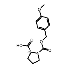 COc1ccc(COC(=O)N2CCC[C@H]2C(=O)O)cc1